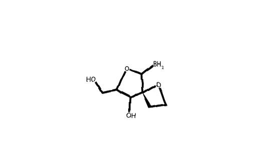 BC1OC(CO)C(O)[C@]12CCO2